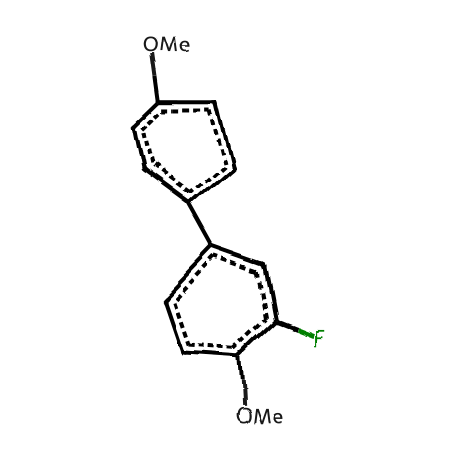 COc1ccc(-c2ccc(OC)c(F)c2)cc1